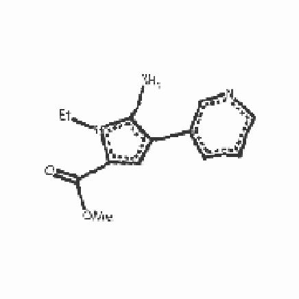 CCn1c(C(=O)OC)[c]c(-c2cccnc2)c1N